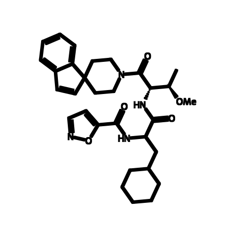 CO[C@H](C)[C@H](NC(=O)C(CC1CCCCC1)NC(=O)c1ccno1)C(=O)N1CCC2(C=Cc3ccccc32)CC1